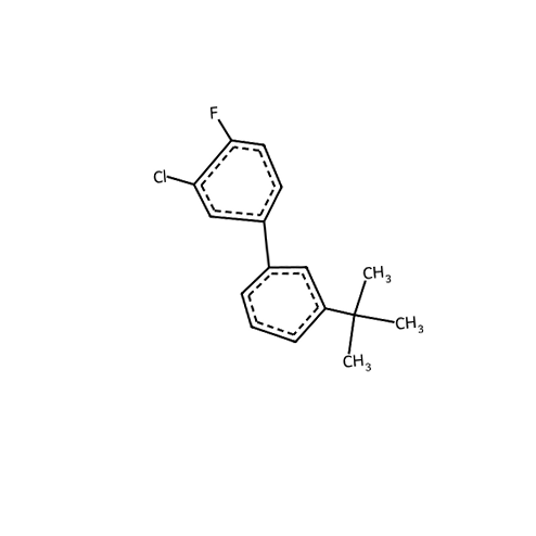 CC(C)(C)c1cccc(-c2ccc(F)c(Cl)c2)c1